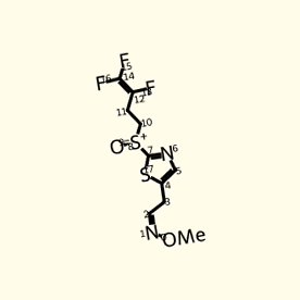 CO/N=C\Cc1cnc([S@@+]([O-])CCC(F)=C(F)F)s1